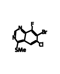 CSc1ncnc2c(F)c(Br)c(Cl)cc12